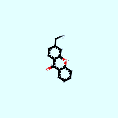 CC(C)Cc1ccc2c(=O)c3ccccc3oc2c1